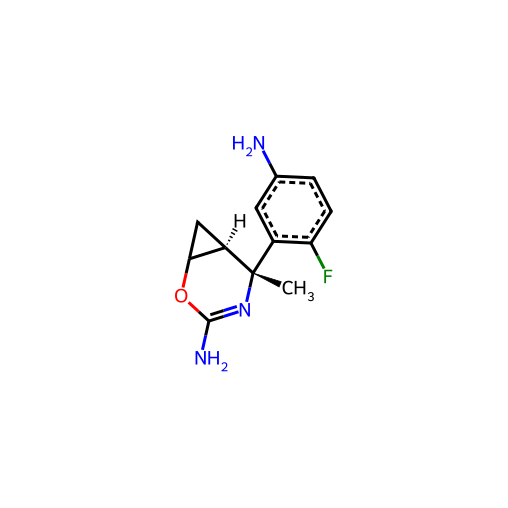 C[C@@]1(c2cc(N)ccc2F)N=C(N)OC2C[C@H]21